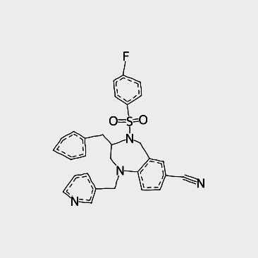 N#Cc1ccc2c(c1)CN(S(=O)(=O)c1ccc(F)cc1)C(Cc1ccccc1)CN2Cc1cccnc1